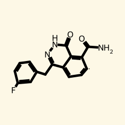 NC(=O)c1[c]ccc2c(Cc3cccc(F)c3)n[nH]c(=O)c12